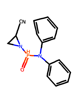 N#CC1CN1[PH](=O)N(c1ccccc1)c1ccccc1